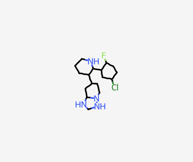 FC1CCC(Cl)CC1C1NCCCC1C1CCN2NCNC2C1